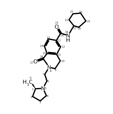 C[C@@H]1CCCN1CCN1CCc2cc(C(=O)NC3CCCCC3)ccc2C1=O